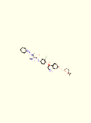 C=C/C(C(=O)Nc1ccc(Oc2ccnc3cc(OC[C@@H]4CCC5(CC5)O4)ccc23)c(F)c1)=C(/C)N(C)N(C)c1ccccc1